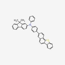 CC1(C)c2ccccc2-c2ccc(N(c3ccccc3)c3ccc(-c4ccc5c(ccc6c7ccccc7sc56)c4)cc3)cc21